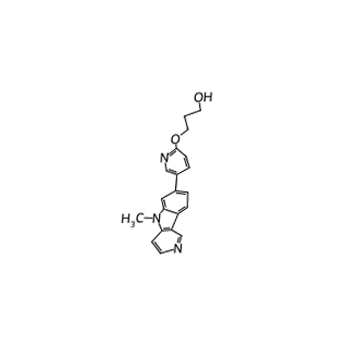 Cn1c2ccncc2c2ccc(-c3ccc(OCCCO)nc3)cc21